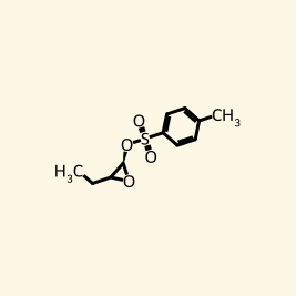 CCC1O[C@@H]1OS(=O)(=O)c1ccc(C)cc1